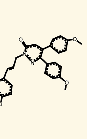 COc1ccc(C=CCn2nc(-c3ccc(OC)cc3)c(-c3ccc(OC)cc3)cc2=O)cc1